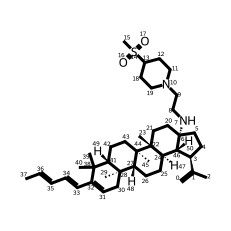 C=C(C)[C@@H]1CC[C@]2(NCCN3CCC(S(C)(=O)=O)CC3)CC[C@]3(C)[C@H](CC[C@@H]4[C@@]5(C)CC=C(C=C/C=C/C)C(C)(C)[C@@H]5CC[C@]43C)[C@@H]12